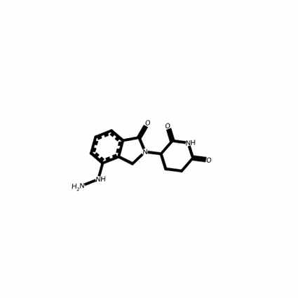 NNc1cccc2c1CN(C1CCC(=O)NC1=O)C2=O